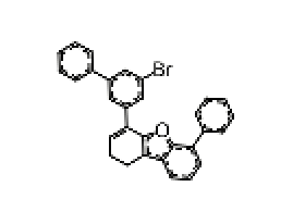 Brc1cc(C2=CCCc3c2oc2c(-c4ccccc4)cccc32)cc(-c2ccccc2)c1